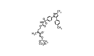 CCOC(=O)OC(C)O/N=[N+](\[O-])N(C)CCOC(=O)NS(=O)(=O)c1ccc(-n2nc(C(F)(F)F)cc2-c2ccc(C)cc2)cc1